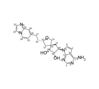 Nc1ncnc2c1ccn2[C@@H]1C[C@@]2(CO[C@@H](CCc3ccn4ccnc4c3)C2)[C@@H](O)[C@H]1O